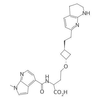 Cn1ccc2c(C(=O)NC(CCO[C@H]3C[C@H](CCc4ccc5c(n4)NCCC5)C3)C(=O)O)ccnc21